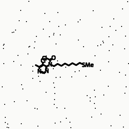 CSCCCCCCCCN(C(=O)Cl)c1ncnc(C)c1Cl